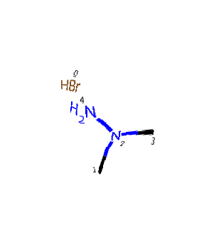 Br.CN(C)N